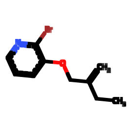 C=C(CC)COc1cccnc1Br